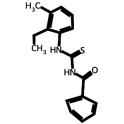 CCc1c(C)cccc1NC(=S)NC(=O)c1ccccc1